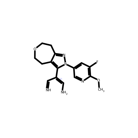 COc1ncc(-n2nc3c(c2/C(C=N)=C/N)CCOCC3)cc1F